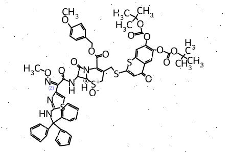 CO/N=C(\C(=O)NC1C(=O)N2C(C(=O)OCc3ccc(OC)cc3)=C(CSc3cc(=O)c4cc(OC(=O)OC(C)(C)C)c(OC(=O)OC(C)(C)C)cc4s3)C[S+]([O-])[C@@H]12)c1csc(NC(c2ccccc2)(c2ccccc2)c2ccccc2)n1